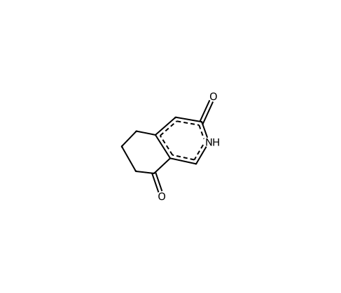 O=C1CCCc2cc(=O)[nH]cc21